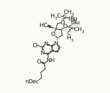 C#C[C@]1(CO[Si](C)(C)C(C)(C)C)O[C@@H](n2ccc3c(NC(=O)CCCCCCCCCCCCC)nc(Cl)nc32)C[C@@H]1O[Si](C)(C)C(C)(C)C